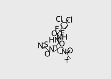 CC1(C)C[C@@H]1C(=O)N1CCC2(CC1)CN(C(=O)c1cncs1)CC2C(=O)NNC(=O)C(F)(F)c1ccc(Cl)c(Cl)c1